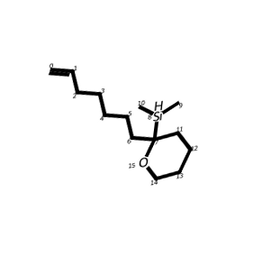 C=CCCCCCC1([SiH](C)C)CCCCO1